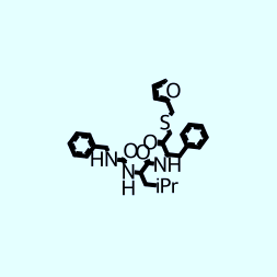 CC(C)CC(NC(=O)NCc1ccccc1)C(=O)NC(Cc1ccccc1)C(=O)CSCc1ccco1